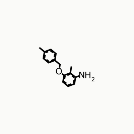 Cc1ccc(COc2cccc(N)c2C)cc1